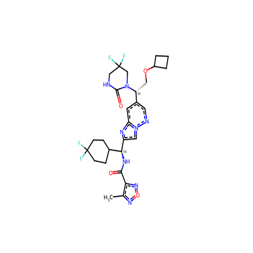 Cc1nonc1C(=O)N[C@H](c1cn2ncc([C@@H](COC3CCC3)N3CC(F)(F)CNC3=O)cc2n1)C1CCC(F)(F)CC1